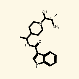 CC(NC(=O)c1c[nH]c2ccccc12)C1CCN(C(O)[C@H](C)N)CC1